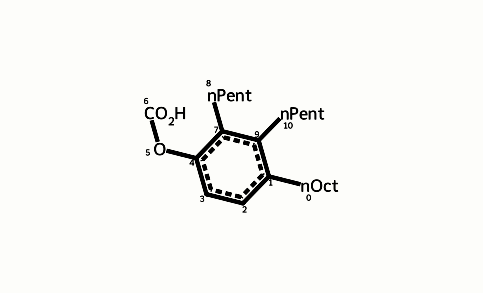 CCCCCCCCc1ccc(OC(=O)O)c(CCCCC)c1CCCCC